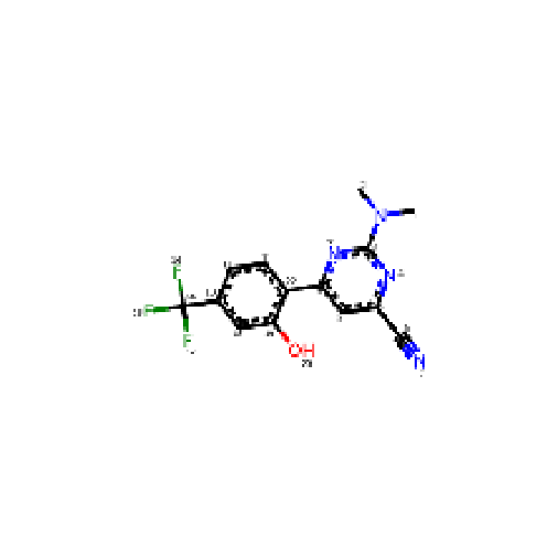 CN(C)c1nc(C#N)cc(-c2ccc(C(F)(F)F)cc2O)n1